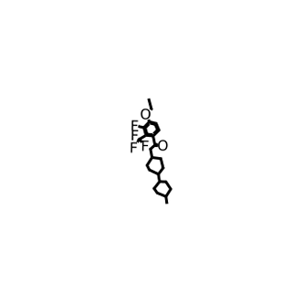 CCOc1ccc(C(=O)CC2CCC(C3CCC(C)CC3)CC2)c(C(F)(F)F)c1F